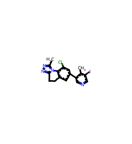 Cc1c(I)cncc1-c1cc(Cl)c2c(c1)CCc1nnc(C)n1-2